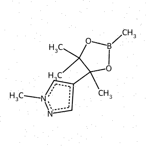 CB1OC(C)(C)C(C)(c2cnn(C)c2)O1